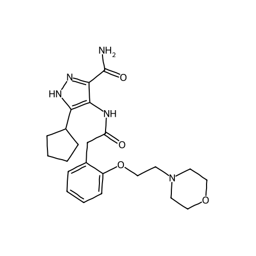 NC(=O)c1n[nH]c(C2CCCC2)c1NC(=O)Cc1ccccc1OCCN1CCOCC1